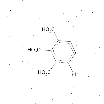 O=C(O)c1ccc(Cl)c(C(=O)O)c1C(=O)O